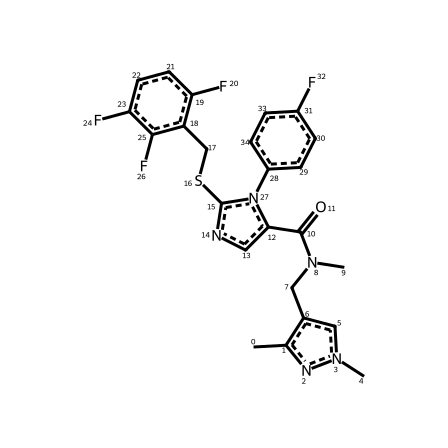 Cc1nn(C)cc1CN(C)C(=O)c1cnc(SCc2c(F)ccc(F)c2F)n1-c1ccc(F)cc1